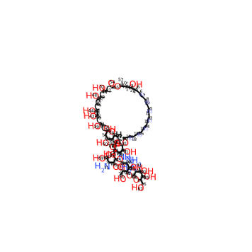 C[C@@H]1[C@H](O)[C@@H](C)/C=C/C=C/C=C/C=C/C=C/C=C/C=C/[C@H](OC2O[C@@H](C)[C@H](O)[C@@H](N)[C@H]2O)C[C@@H]2O[C@](O)(C[C@@H](O)C[C@@H](O)[C@H](O)CC[C@@H](O)C[C@@H](O)CC(=O)O[C@H]1C)C[C@H](O)[C@H]2C(=O)OCC1O[C@@H](O)C(N)[C@H](O)[C@@H]1O[C@@H]1OC(CO)[C@@H](O[C@@H]2OC(CO)[C@@H](O)C(C)(O)C2N)[C@@H](O)C1N